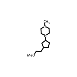 COCCC1CCC(N2CCN(C)CC2)C1